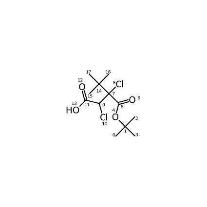 CC(C)(C)OC(=O)C(Cl)(C(Cl)C(=O)O)C(C)(C)C